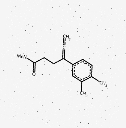 C=C=C(CCC(=O)NC)c1ccc(C)c(C)c1